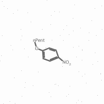 CCCCCOc1ccc([N+](=O)[O-])cc1